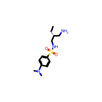 CC[C@H](CN)CNS(=O)(=O)c1ccc(N(C)C)cc1